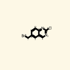 Clc1ncc2cc(CBr)ccc2n1